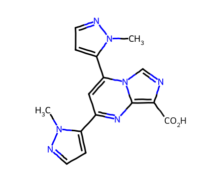 Cn1nccc1-c1cc(-c2ccnn2C)n2cnc(C(=O)O)c2n1